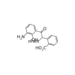 CCCCCC(C(=O)c1cccc(N)c1O)c1ccccc1C(=O)O